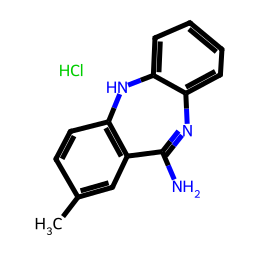 Cc1ccc2c(c1)C(N)=Nc1ccccc1N2.Cl